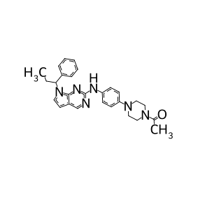 CCC(c1ccccc1)n1ccc2cnc(Nc3ccc(N4CCN(C(C)=O)CC4)cc3)nc21